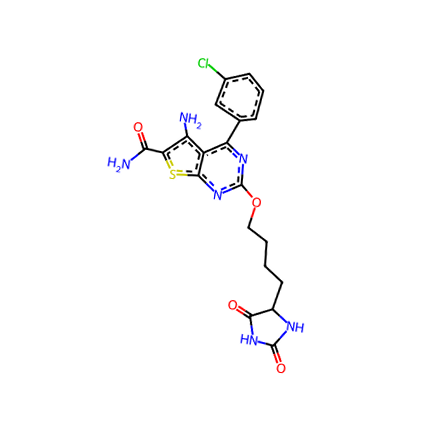 NC(=O)c1sc2nc(OCCCCC3NC(=O)NC3=O)nc(-c3cccc(Cl)c3)c2c1N